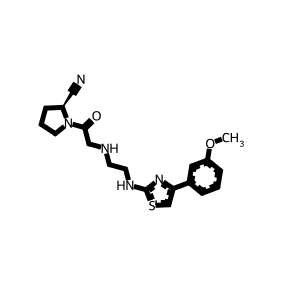 COc1cccc(-c2csc(NCCNCC(=O)N3CCC[C@H]3C#N)n2)c1